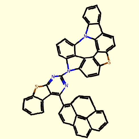 c1cc2ccc3ccc(-c4nc(-n5c6ccc7sc8ccc9c%10ccccc%10n%10c%11cccc5c%11c6c7c8c9%10)nc5sc6ccccc6c45)c4ccc(c1)c2c34